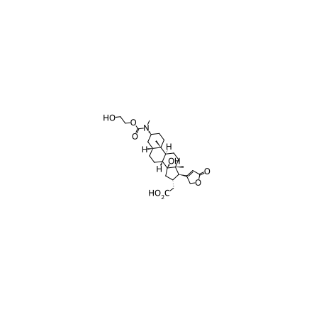 CN(C(=O)OCCO)[C@H]1CC[C@@]2(C)[C@H](CC[C@@H]3[C@@H]2CC[C@]2(C)[C@@H](C4=CC(=O)OC4)[C@H](CC(=O)O)C[C@]32O)C1